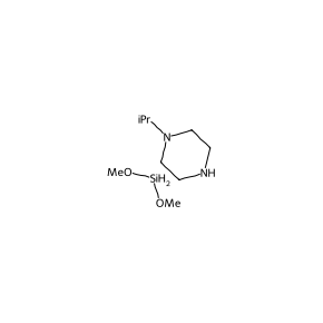 CC(C)N1CCNCC1.CO[SiH2]OC